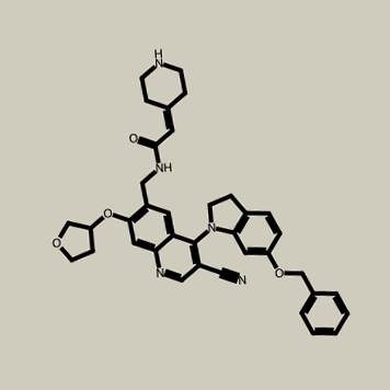 N#Cc1cnc2cc(OC3CCOC3)c(CNC(=O)C=C3CCNCC3)cc2c1N1CCc2ccc(OCc3ccccc3)cc21